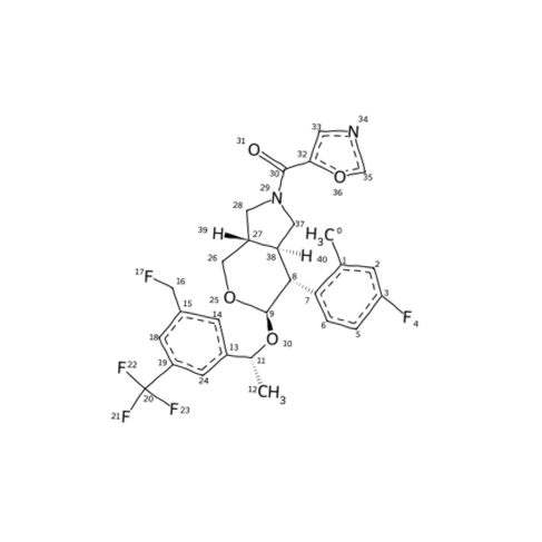 Cc1cc(F)ccc1[C@@H]1[C@@H](O[C@H](C)c2cc(CF)cc(C(F)(F)F)c2)OC[C@@H]2CN(C(=O)c3cnco3)C[C@H]21